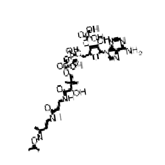 C/C(CCNC(=O)CCNC(=O)[C@@H](O)C(C)(C)COP(=O)(O)OP(=O)(O)OCC1OC(n2cnc3c(N)ncnc32)C(O)C1OP(=O)(O)O)=N\OC(C)C